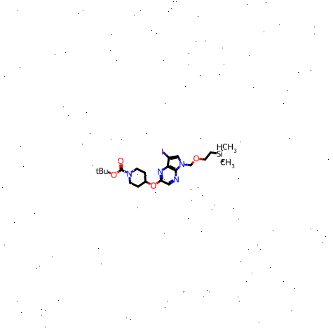 C[SiH](C)CCOCn1cc(I)c2nc(OC3CCN(C(=O)OC(C)(C)C)CC3)cnc21